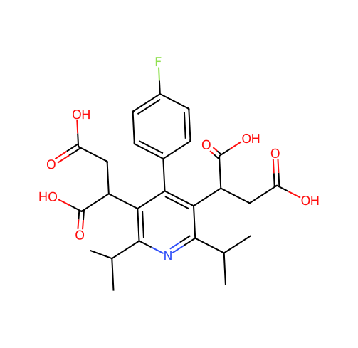 CC(C)c1nc(C(C)C)c(C(CC(=O)O)C(=O)O)c(-c2ccc(F)cc2)c1C(CC(=O)O)C(=O)O